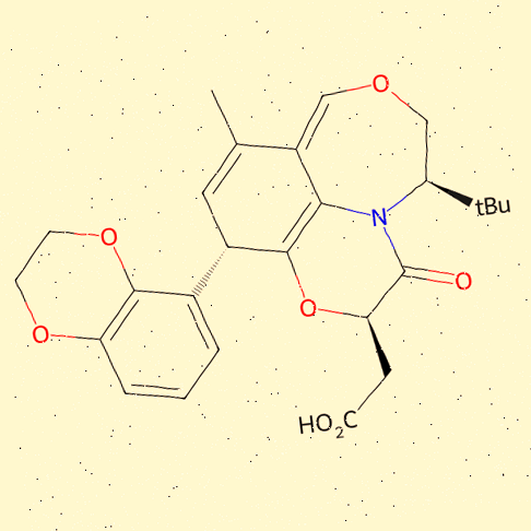 CC1=C[C@@H](c2cccc3c2OCCO3)C2=C3C1=COC[C@@H](C(C)(C)C)N3C(=O)[C@@H](CC(=O)O)O2